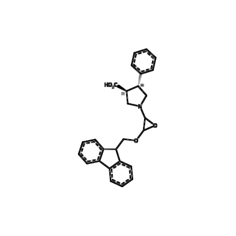 O=C(O)[C@@H]1CN(C2OC2OCC2c3ccccc3-c3ccccc32)C[C@H]1c1ccccc1